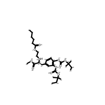 CCCCCC(=O)OCCN[C@@H](Cc1ccc(OC(=O)OC(C)(C)CC)c(OC(=O)OC(C)(C)CC)c1)C(=O)OC